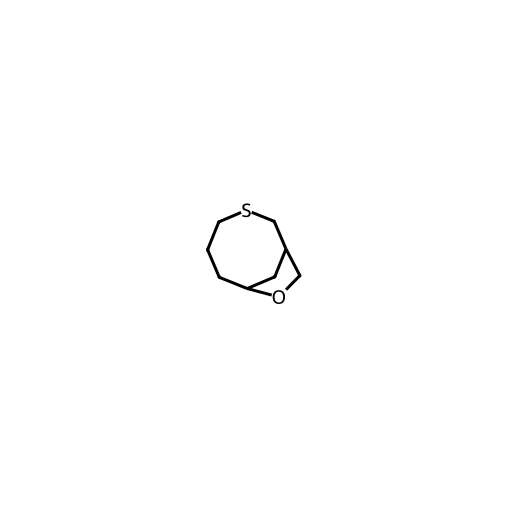 C1CSCC2COC(C1)C2